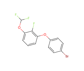 Fc1c(Oc2ccc(Br)cc2)cccc1OC(F)F